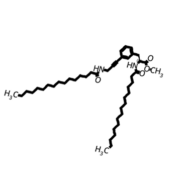 CCCCCCCCCCCCCCCC(=O)NCC#Cc1cccc(C[C@H](NC(=O)CCCCCCCCCCCCCCC)C(=O)OC)c1